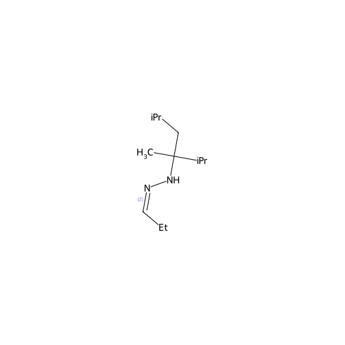 CC/C=N\NC(C)(CC(C)C)C(C)C